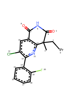 CC(C)CC1(C)C(=O)NC(=O)c2cc(Cl)c(-c3ccccc3F)nc21